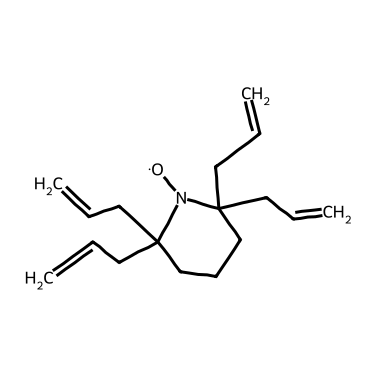 C=CCC1(CC=C)CCCC(CC=C)(CC=C)N1[O]